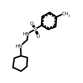 Cc1ccc(S(=O)(=O)NCNC2CCCCC2)cc1